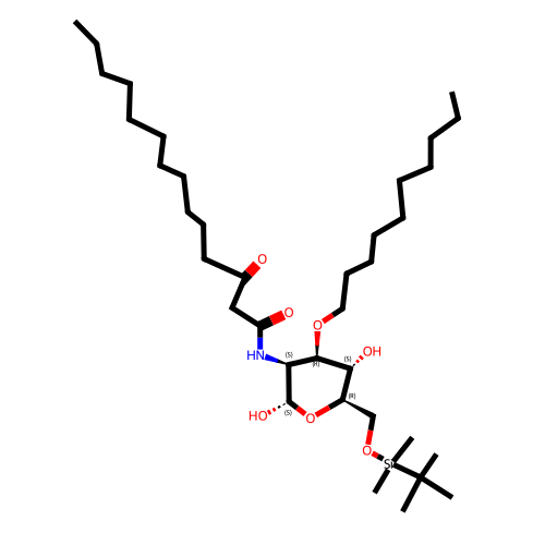 CCCCCCCCCCCC(=O)CC(=O)N[C@H]1[C@@H](OCCCCCCCCCC)[C@H](O)[C@@H](CO[Si](C)(C)C(C)(C)C)O[C@@H]1O